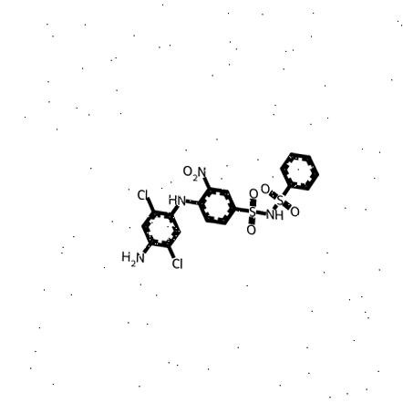 Nc1cc(Cl)c(Nc2ccc(S(=O)(=O)NS(=O)(=O)c3ccccc3)cc2[N+](=O)[O-])cc1Cl